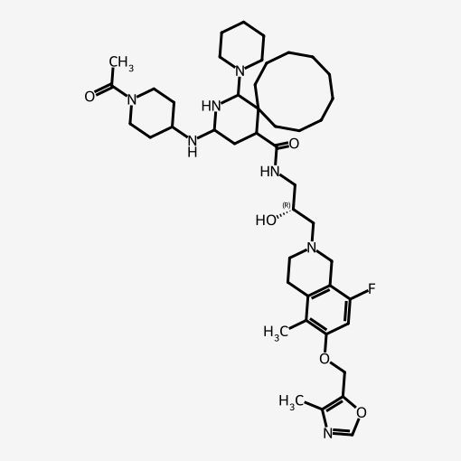 CC(=O)N1CCC(NC2CC(C(=O)NC[C@@H](O)CN3CCc4c(C)c(OCc5ocnc5C)cc(F)c4C3)C3(CCCCCCCCC3)C(N3CCCCC3)N2)CC1